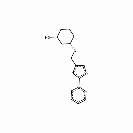 O[C@@H]1CCC[C@H](OCc2coc(-c3ccccc3)n2)C1